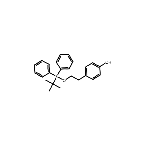 CC(C)(C)[Si](OCCc1ccc(O)cc1)(c1ccccc1)c1ccccc1